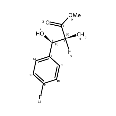 COC(=O)[C@](C)(F)[C@H](O)c1ccc(F)cc1